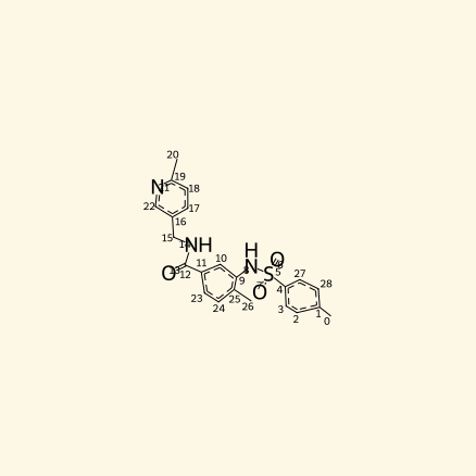 Cc1ccc(S(=O)(=O)Nc2cc(C(=O)NCc3ccc(C)nc3)ccc2C)cc1